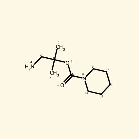 CC(C)(CN)OC(=O)N1CCCCC1